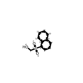 O=S(=O)(CO)c1cccc2ccccc12